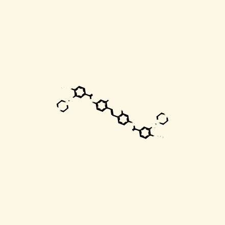 CSc1ccc(C(=O)Nc2ccc(C=Cc3ccc(NC(=O)c4ccc(SC)c(S(=O)(=O)N5CCOCC5)c4)cc3S(=O)(=O)O)c(S(=O)(=O)O)c2)cc1S(=O)(=O)N1CCOCC1